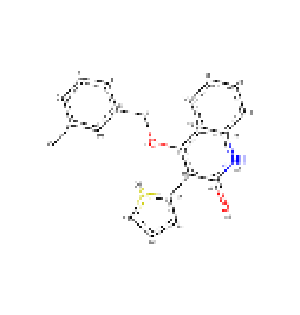 Cc1cccc(COc2c(-c3cccs3)c(=O)[nH]c3ccccc23)c1